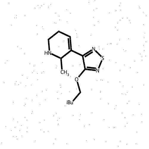 CCC(C)COc1nsnc1C1=CCCNC1C